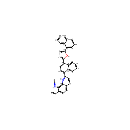 C=Cc1ccc2ccc(-c3ccc(-c4ccc(-c5cccc6ccccc56)o4)c4ccccc34)nc2c1N=C